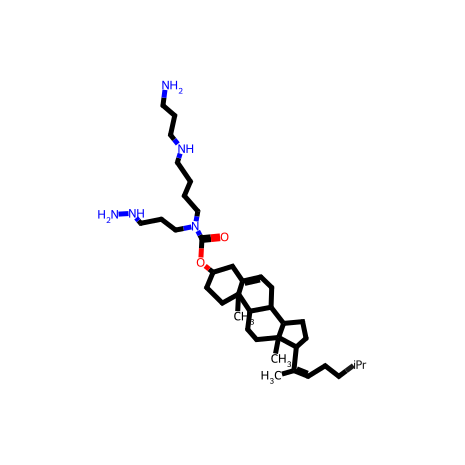 C/C(=C/CCC(C)C)C1CCC2C3CC=C4CC(OC(=O)N(CCCCNCCCN)CCCNN)CCC4(C)C3CCC12C